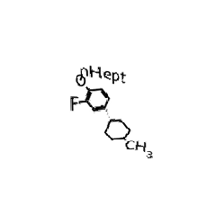 CCCCCCCOc1ccc([C@H]2CC[C@H](C)CC2)cc1F